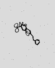 COC(=O)c1ccc2cc(CCc3ccccc3)oc2c1